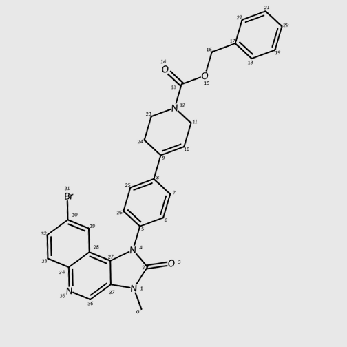 Cn1c(=O)n(-c2ccc(C3=CCN(C(=O)OCc4ccccc4)CC3)cc2)c2c3cc(Br)ccc3ncc21